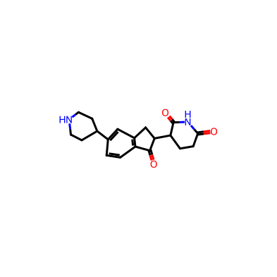 O=C1CCC(C2Cc3cc(C4CCNCC4)ccc3C2=O)C(=O)N1